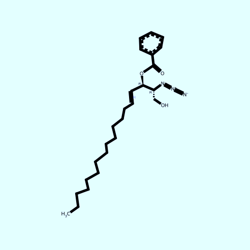 CCCCCCCCCCCCC/C=C/[C@@H](OC(=O)c1ccccc1)[C@@H](CO)N=[N+]=[N-]